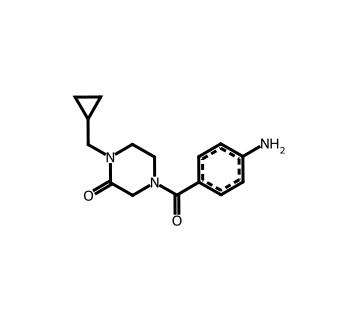 Nc1ccc(C(=O)N2CCN(CC3CC3)C(=O)C2)cc1